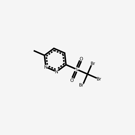 Cc1ccc(S(=O)(=O)C(Br)(Br)Br)nn1